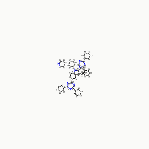 c1ccc(-c2nc(-c3ccccc3)nc(-c3ccc4c(c3)c3ccccc3n4-c3cc(-c4ccncc4)ccc3-c3nc(-c4ccccc4)nc(-c4ccccc4)n3)n2)cc1